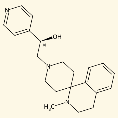 CN1CCc2ccccc2C12CCN(C[C@H](O)c1ccncc1)CC2